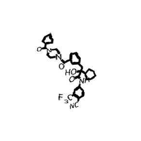 N#Cc1ccc(NC(=O)C(O)(Cc2cccc(C(=O)N3CCN(C(=O)c4ccccc4)CC3)c2)C2CCCCC2)cc1C(F)(F)F